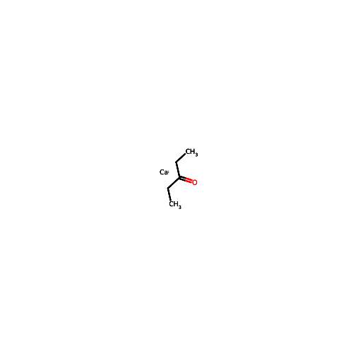 CCC(=O)CC.[Ca]